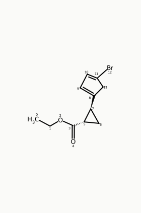 CCOC(=O)[C@H]1C[C@@H]1C1=CC=C(Br)C1